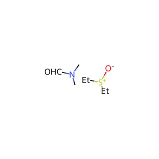 CC[S+]([O-])CC.CN(C)C=O